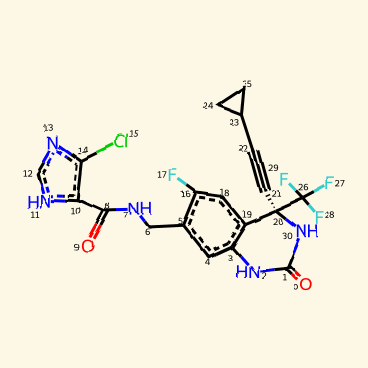 O=C1Nc2cc(CNC(=O)c3[nH]cnc3Cl)c(F)cc2[C@@](C#CC2CC2)(C(F)(F)F)N1